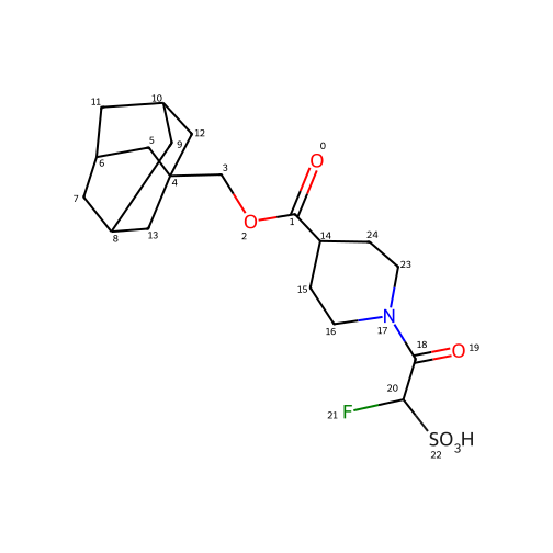 O=C(OCC12CC3CC(CC(C3)C1)C2)C1CCN(C(=O)C(F)S(=O)(=O)O)CC1